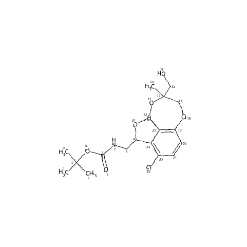 CC(C)(C)OC(=O)NCC1OB2OC(C)(CO)COc3ccc(Cl)c1c32